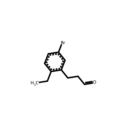 CCc1ccc(Br)cc1CCC=O